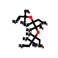 C=C[Si](C)(C)OC(C)(CC)[Si](C)(C)OC(C)(CC)[Si](C)(C)C=C